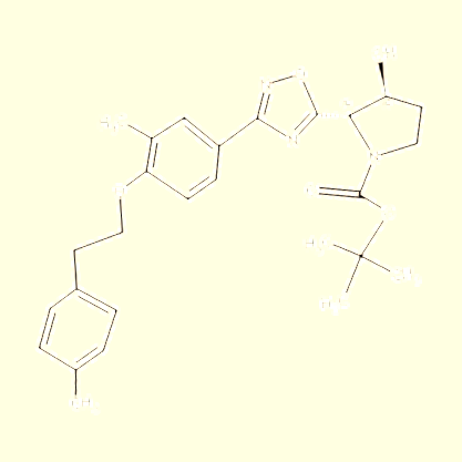 Cc1ccc(CCOc2ccc(-c3noc([C@@H]4[C@@H](O)CCN4C(=O)OC(C)(C)C)n3)cc2C)cc1